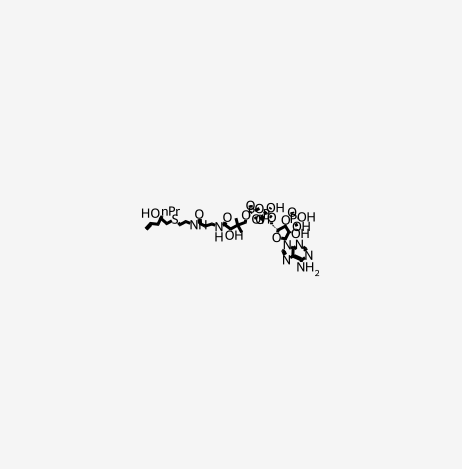 C=CCC(O)(CCC)CSCCNC(=O)CCNC(=O)C(O)C(C)(C)COP(=O)(O)OP(=O)(O)OC[C@H]1O[C@@H](n2cnc3c(N)ncnc32)[C@H](O)[C@@H]1OP(=O)(O)O